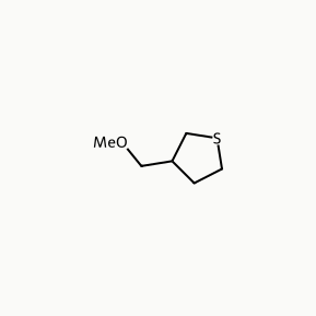 COCC1CCSC1